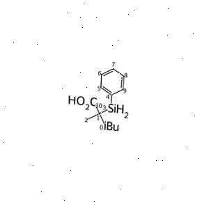 CCC(C)C(C)([SiH2]c1ccccc1)C(=O)O